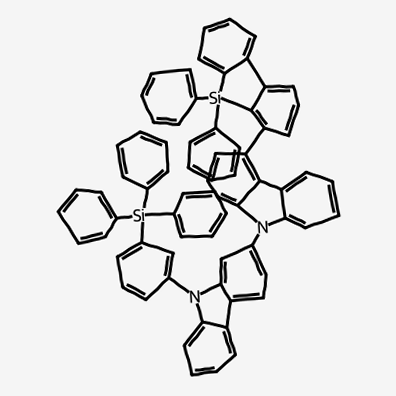 c1ccc([Si](c2ccccc2)(c2ccccc2)c2cccc(-n3c4ccccc4c4ccc(-n5c6ccccc6c6c(-c7cccc8c7[Si](c7ccccc7)(c7ccccc7)c7ccccc7-8)cccc65)cc43)c2)cc1